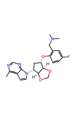 Cc1ncnc2c1ccn2[C@@H]1C[C@H](Oc2ccc(F)cc2CN(C)C)[C@H]2OCO[C@H]21